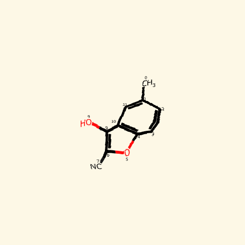 Cc1ccc2oc(C#N)c(O)c2c1